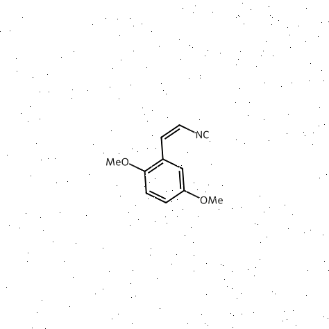 [C-]#[N+]/C=C\c1cc(OC)ccc1OC